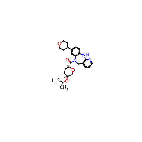 CC(C)O[C@H]1CC[C@H](C(=O)N2Cc3cccnc3Nc3ccc(C4CCOCC4)cc32)OC1